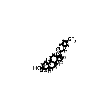 C[C@@]1(O)CC[C@@]2(F)[C@H](CC[C@H]3[C@@H]4CC[C@H](C(=O)Cn5ccc(C(F)(F)F)n5)[C@@]4(C)CC[C@@H]32)C1